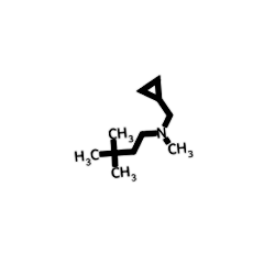 CN(CCC(C)(C)C)CC1CC1